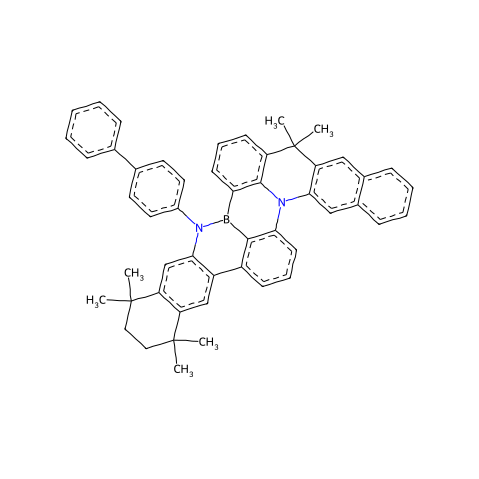 CC1(C)CCC(C)(C)c2cc3c(cc21)-c1cccc2c1B(c1cccc4c1N2c1cc2ccccc2cc1C4(C)C)N3c1ccc(-c2ccccc2)cc1